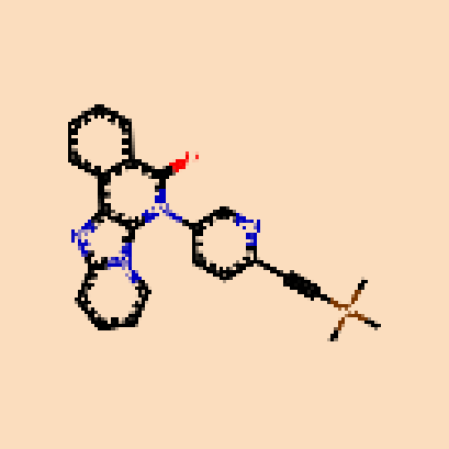 CS(C)(C)C#Cc1ccc(-n2c(=O)c3ccccc3c3nc4ccccn4c32)cn1